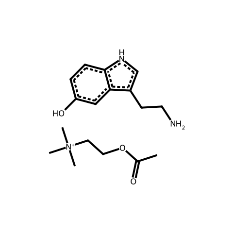 CC(=O)OCC[N+](C)(C)C.NCCc1c[nH]c2ccc(O)cc12